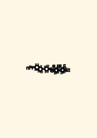 CCCC1CCC2CC(C3CCC(COc4ccc(-c5ccc(CC)c(F)c5F)c(F)c4F)CC3)CCC2C1